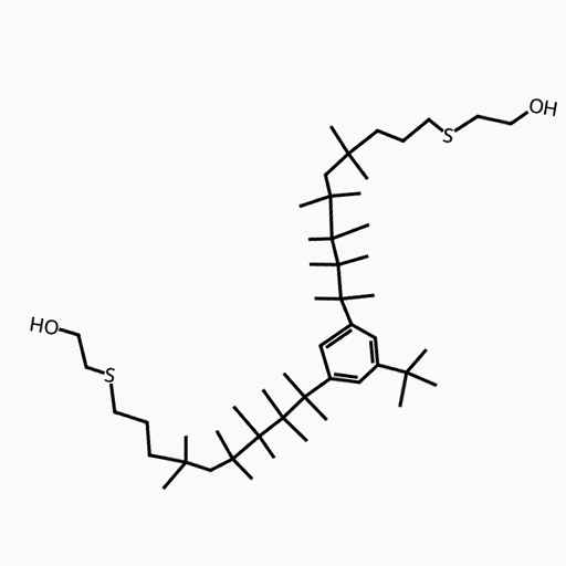 CC(C)(CCCSCCO)CC(C)(C)C(C)(C)C(C)(C)C(C)(C)c1cc(C(C)(C)C)cc(C(C)(C)C(C)(C)C(C)(C)C(C)(C)CC(C)(C)CCCSCCO)c1